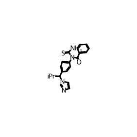 CC(C)C(c1ccc(N(C(=O)c2ccccc2)C(N)=S)cc1)n1ccnc1